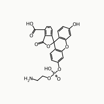 NCCOP(=O)(O)Oc1ccc2c(c1)Oc1cc(O)ccc1C21OC(=O)c2c(C(=O)O)cccc21